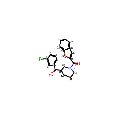 O=C(c1cccc(F)c1)C1CCCN(C(=O)c2cc3ccccc3s2)C1